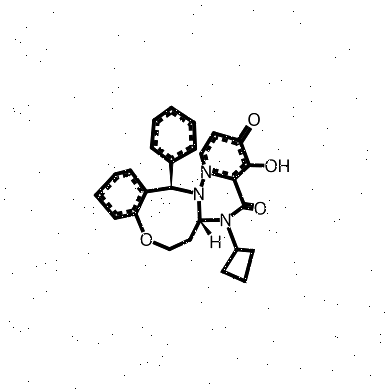 O=C1c2c(O)c(=O)ccn2N2[C@H](c3ccccc3)c3ccccc3OCC[C@H]2N1C1CCC1